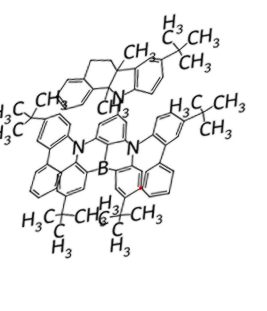 CC(C)(C)c1ccc2c(c1)B1c3cc(C(C)(C)C)ccc3N(c3ccc(C(C)(C)C)cc3-c3ccccc3)c3cc(N4c5ccc(C(C)(C)C)cc5C5(C)CCc6ccccc6C45C)cc(c31)N2c1ccc(C(C)(C)C)cc1-c1ccccc1